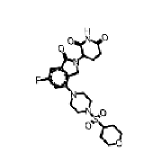 O=C1CCC(N2Cc3c(cc(F)cc3N3CCN(S(=O)(=O)C4CCOCC4)CC3)C2=O)C(=O)N1